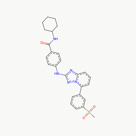 CS(=O)(=O)c1cccc(-c2cccc3nc(Nc4ccc(C(=O)NC5CCCCC5)cc4)nn23)c1